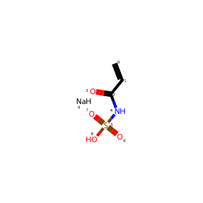 C=CC(=O)NS(=O)(=O)O.[NaH]